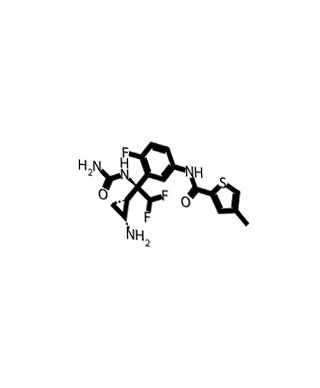 Cc1csc(C(=O)Nc2ccc(F)c([C@](NC(N)=O)(C(F)F)[C@H]3C[C@H]3N)c2)c1